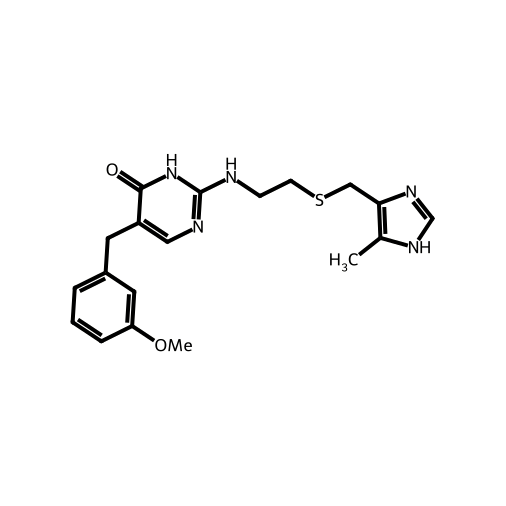 COc1cccc(Cc2cnc(NCCSCc3nc[nH]c3C)[nH]c2=O)c1